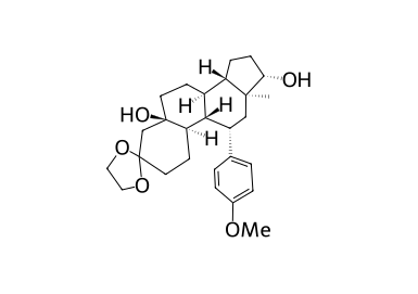 COc1ccc([C@H]2C[C@]3(C)[C@@H](O)CC[C@H]3[C@@H]3CC[C@@]4(O)CC5(CC[C@@H]4[C@H]32)OCCO5)cc1